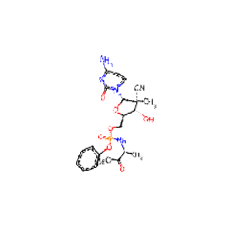 COC(=O)[C@H](C)NP(=O)(OC[C@H]1O[C@H](n2ccc(N)nc2=O)[C@](C)(C#N)[C@@H]1O)Oc1ccccc1